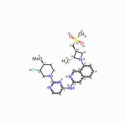 CO[C@H]1CCN(c2nccc(Nc3cc4cccc(N5C[C@H](CS(C)(=O)=O)[C@H]5C)c4cn3)n2)C[C@H]1F